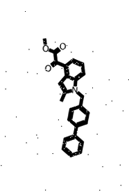 COC(=O)C(=O)c1cccc2c1cc(C)n2Cc1ccc(-c2ccccc2)cc1